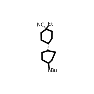 CCCCC1CCC([C@H]2CC[C@](C#N)(CC)CC2)CC1